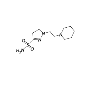 NS(=O)(=O)C1=NN(CCN2CCCCC2)CC1